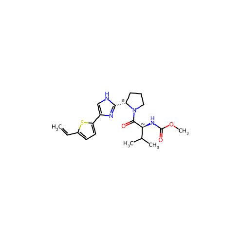 C=Cc1ccc(-c2c[nH]c([C@@H]3CCCN3C(=O)[C@@H](NC(=O)OC)C(C)C)n2)s1